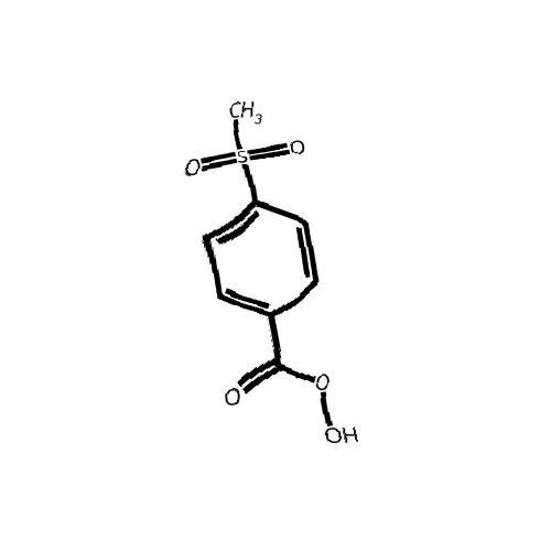 CS(=O)(=O)c1ccc(C(=O)OO)cc1